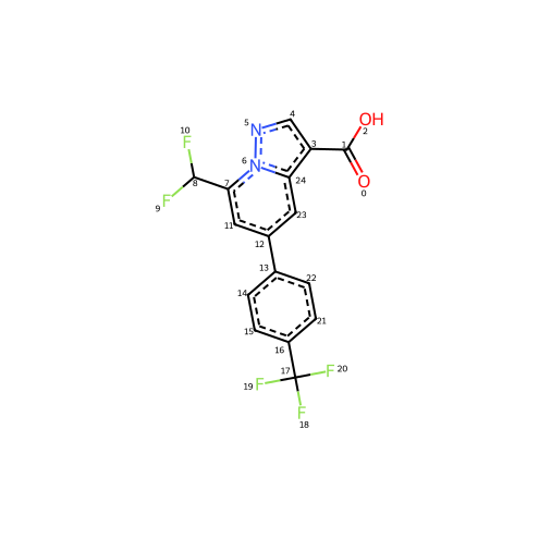 O=C(O)c1cnn2c(C(F)F)cc(-c3ccc(C(F)(F)F)cc3)cc12